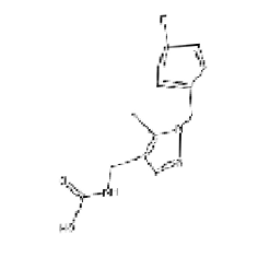 Cc1c(CNC(=O)O)cnn1Cc1ccc(F)cc1